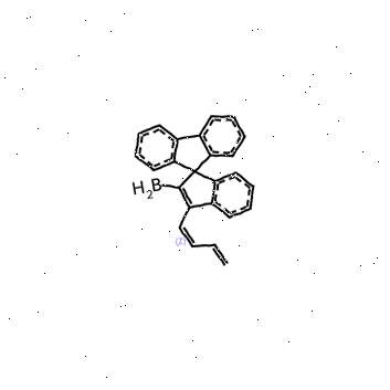 BC1=C(/C=C\C=C)c2ccccc2C12c1ccccc1-c1ccccc12